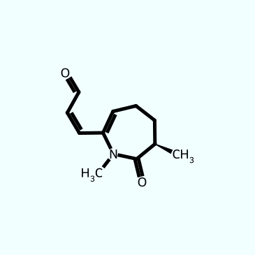 C[C@@H]1CCC=C(/C=C\C=O)N(C)C1=O